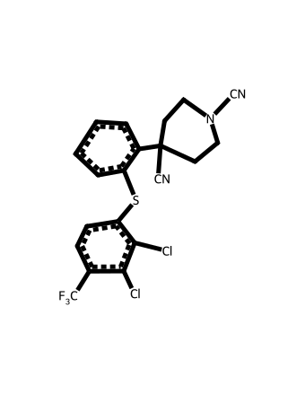 N#CN1CCC(C#N)(c2ccccc2Sc2ccc(C(F)(F)F)c(Cl)c2Cl)CC1